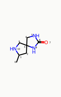 CC1CC2(CNC(=O)N2)CN1